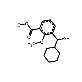 COC(=O)c1cccc(C(S)C2CCCCC2)c1OC